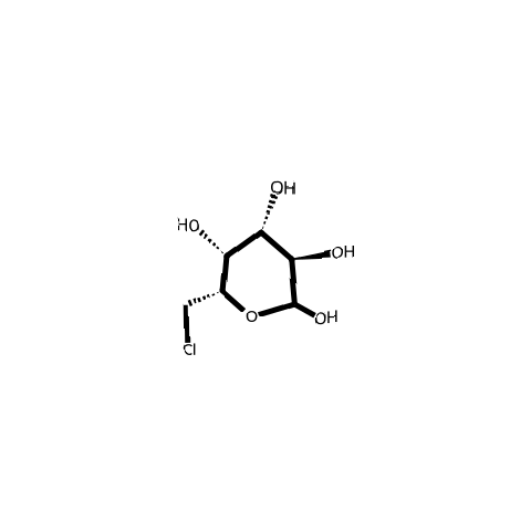 OC1O[C@H](CCl)[C@H](O)[C@H](O)[C@H]1O